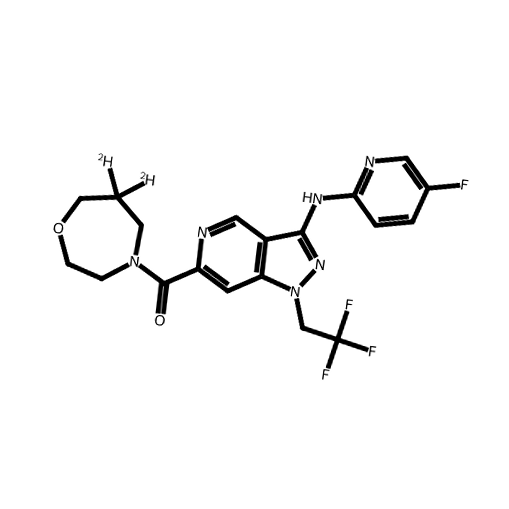 [2H]C1([2H])COCCN(C(=O)c2cc3c(cn2)c(Nc2ccc(F)cn2)nn3CC(F)(F)F)C1